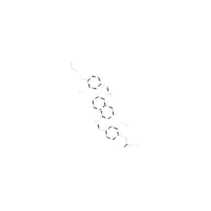 CCOOc1ccc(/C=N\c2cccc3c(/N=C\c4ccc(CC(=O)O)c(OC)c4)cccc23)cc1OC